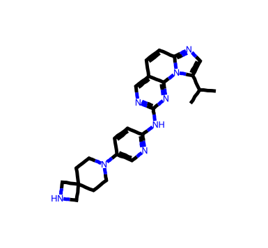 CC(C)c1cnc2ccc3cnc(Nc4ccc(N5CCC6(CC5)CNC6)cn4)nc3n12